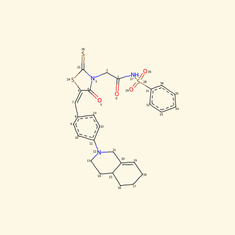 O=C(CN1C(=O)C(=Cc2ccc(N3CCC4CCCC=C4C3)cc2)SC1=S)NS(=O)(=O)c1ccccc1